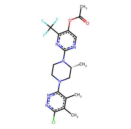 CC(=O)Oc1cnc(N2CCN(c3nnc(Cl)c(C)c3C)C[C@H]2C)nc1C(F)(F)F